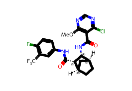 COc1ncnc(Cl)c1C(=O)N[C@@H]1[C@H]2CC[C@H](C2)[C@@H]1C(=O)Nc1ccc(F)c(C(F)(F)F)c1